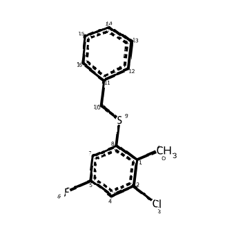 Cc1c(Cl)cc(F)cc1SCc1ccccc1